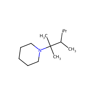 CC(C)C(C)C(C)(C)N1CCCCC1